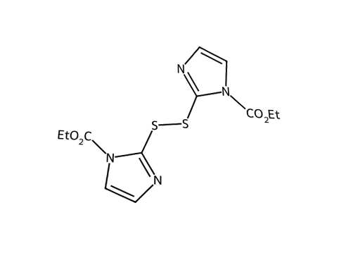 CCOC(=O)n1ccnc1SSc1nccn1C(=O)OCC